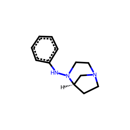 c1ccc(NN2CCN3CC[C@@H]2C3)cc1